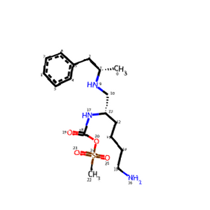 C[C@@H](Cc1ccccc1)NC[C@H](CCCCN)NC(=O)OS(C)(=O)=O